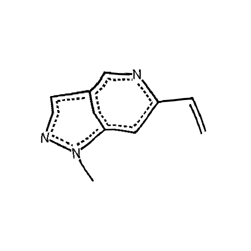 C=Cc1cc2c(cn1)cnn2C